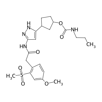 CCCNC(=O)OC1CCC(c2cc(NC(=O)Cc3ccc(OC)cc3S(C)(=O)=O)n[nH]2)C1